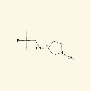 CN1CC[C@@H](NCC(F)(F)F)C1